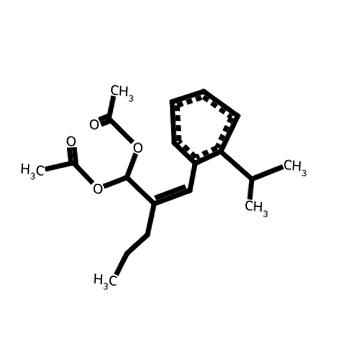 CCCC(=Cc1ccccc1C(C)C)C(OC(C)=O)OC(C)=O